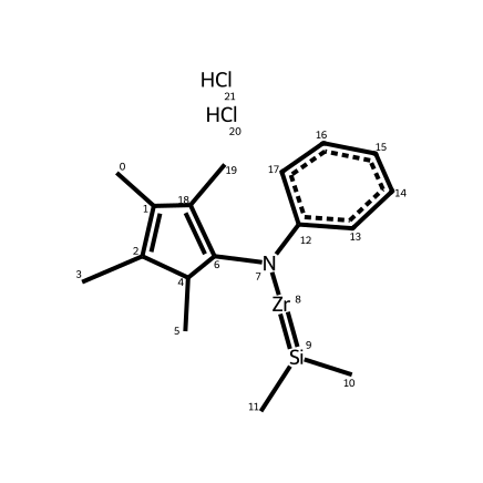 CC1=C(C)C(C)C([N]([Zr]=[Si](C)C)c2ccccc2)=C1C.Cl.Cl